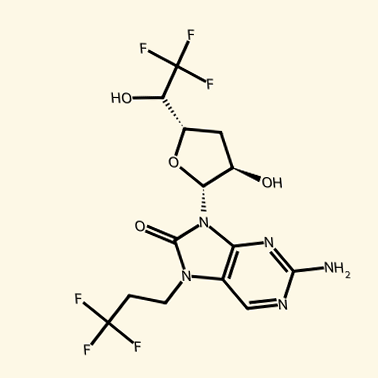 Nc1ncc2c(n1)n([C@@H]1O[C@H](C(O)C(F)(F)F)C[C@H]1O)c(=O)n2CCC(F)(F)F